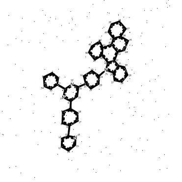 c1ccc(-c2nc(-c3ccc(-c4ccccn4)cc3)cc(-c3ccc(-n4c5ccccc5c5c6ccc7ccccc7c6c6ccccc6c54)cc3)n2)cc1